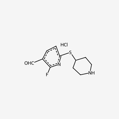 Cl.O=Cc1ccc(SC2CCNCC2)nc1F